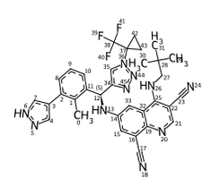 Cc1c(-c2cn[nH]c2)cccc1[C@H](Nc1cc(C#N)c2ncc(C#N)c(NCC(C)(C)C)c2c1)c1cn(C2(C(F)(F)F)CC2)nn1